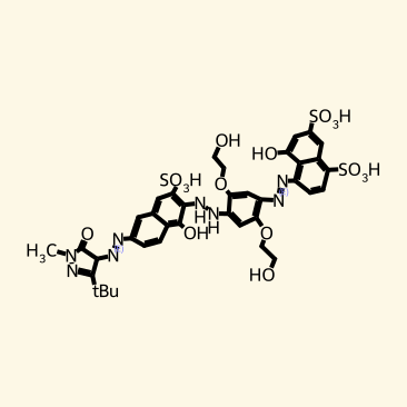 CN1N=C(C(C)(C)C)C(/N=N/c2ccc3c(O)c(NNc4cc(OCCO)c(/N=N/c5ccc(S(=O)(=O)O)c6cc(S(=O)(=O)O)cc(O)c56)cc4OCCO)c(S(=O)(=O)O)cc3c2)C1=O